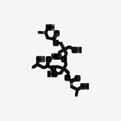 CC(S)CC(=O)OCC(CO)(CO)COCC(CO)(COC(=O)CC(C)S)COC(=O)CC(C)S